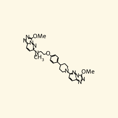 COc1nnc2ccc(N(C)CCOc3ccc(C4CCN(c5ccc6nnc(OC)n6n5)CC4)cc3)nn12